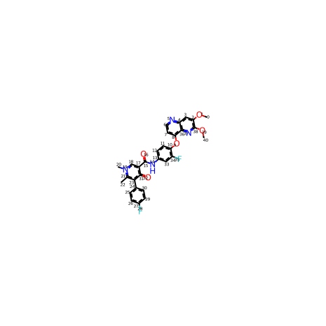 COc1cc2nccc(Oc3ccc(NC(=O)c4cn(C)c(C)c(-c5ccc(F)cc5)c4=O)cc3F)c2nc1OC